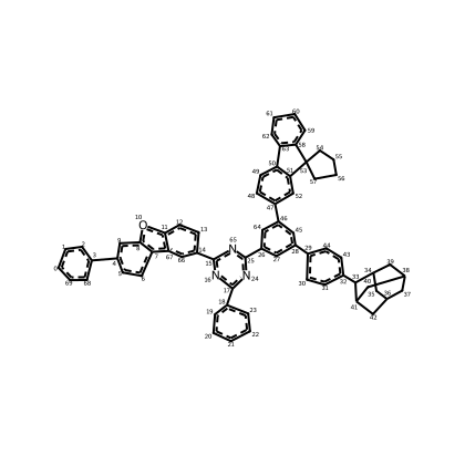 c1ccc(-c2ccc3c(c2)oc2ccc(-c4nc(-c5ccccc5)nc(-c5cc(-c6ccc(C7C8CC9CC(C8)CC7C9)cc6)cc(-c6ccc7c(c6)C6(CCCC6)c6ccccc6-7)c5)n4)cc23)cc1